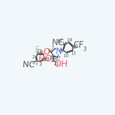 N#Cc1ccc(O[C@H]2CN(c3ccc(C(F)(F)F)cc3C#N)C[C@]2(O)CO)c(F)c1